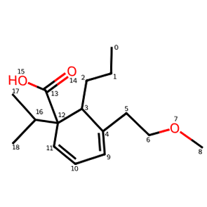 CCCC1C(CCOC)=CC=CC1(C(=O)O)C(C)C